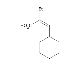 CC/C(=C/C1CCCCC1)C(=O)O